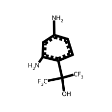 Nc1ccc(C(O)(C(F)(F)F)C(F)(F)F)c(N)c1